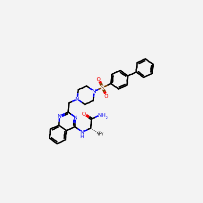 CC(C)[C@H](Nc1nc(CN2CCN(S(=O)(=O)c3ccc(-c4ccccc4)cc3)CC2)nc2ccccc12)C(N)=O